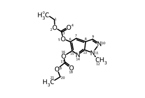 CCOC(=O)Oc1cc2cnn(C)c2nc1OC(=O)OCC